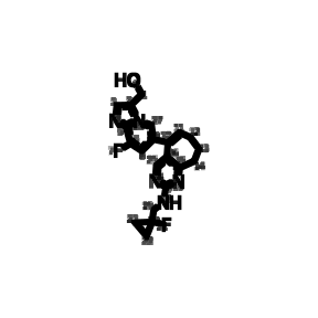 OCc1cnc2c(F)cc(C3=CCCCc4nc(NCC5(F)CC5)ncc43)cn12